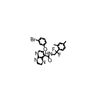 Cc1ccc(C(F)(F)CNC(=O)c2c(Oc3cccc(Br)c3)cnc3nccnc23)c(C)c1